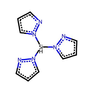 c1cnn([SiH](n2cccn2)n2cccn2)c1